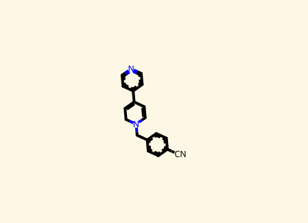 N#Cc1ccc(CN2C=CC(c3ccncc3)=CC2)cc1